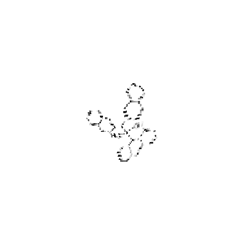 CC(C)(c1c2ccccc2cc2ccccc12)C(c1ccc2ccccc2c1)c1ccc2ccccc2c1